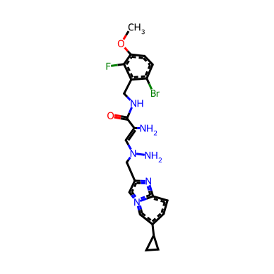 COc1ccc(Br)c(CNC(=O)/C(N)=C/N(N)Cc2cn3cc(C4CC4)ccc3n2)c1F